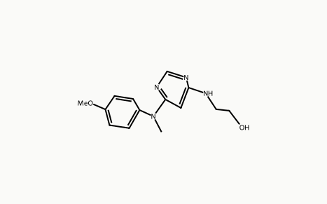 COc1ccc(N(C)c2cc(NCCO)ncn2)cc1